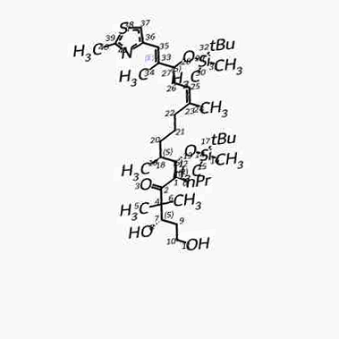 CCC[C@@H](C(=O)C(C)(C)[C@@H](O)CCO)[C@@H](O[Si](C)(C)C(C)(C)C)[C@@H](C)CCCC(C)=CC[C@H](O[Si](C)(C)C(C)(C)C)/C(C)=C/c1csc(C)n1